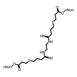 CCCCCCCCCOC(=O)CCSCCCC(=N)NCCNC(=N)CCCSCCC(=O)OCCCCCCCCC